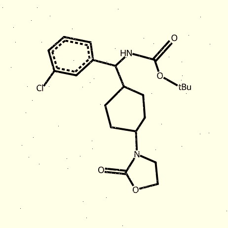 CC(C)(C)OC(=O)NC(c1cccc(Cl)c1)C1CCC(N2CCOC2=O)CC1